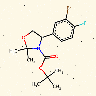 CC(C)(C)OC(=O)N1C(c2ccc(F)c(Br)c2)COC1(C)C